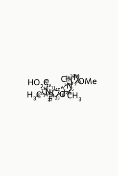 COc1cc(N2CCC(Oc3ccc(N4C[C@H](C)C[C@@H]4CC(=O)O)c(F)c3)C(C)C2)c(Cl)cn1